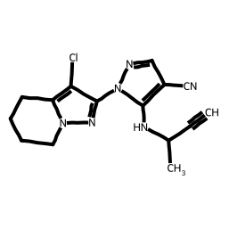 C#CC(C)Nc1c(C#N)cnn1-c1nn2c(c1Cl)CCCC2